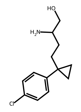 NC(CO)CCC1(c2ccc(Cl)cc2)CC1